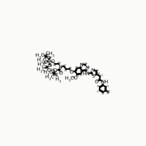 COc1cc2c(Nc3ncc(CC(=O)Nc4cccc(F)c4)s3)ncnc2cc1OCCCN(CCOP(=O)(OC(C)(C)C)OC(C)(C)C)C(=O)OC(C)(C)C